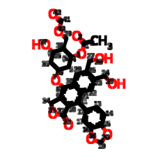 CC(=O)O[C@H]1C[C@@H](Oc2c3c(c(-c4ccc5c(c4)OCO5)c4cc(CO)c(CO)cc24)C(=O)OC3)C[C@H](O)[C@H]1COC=O